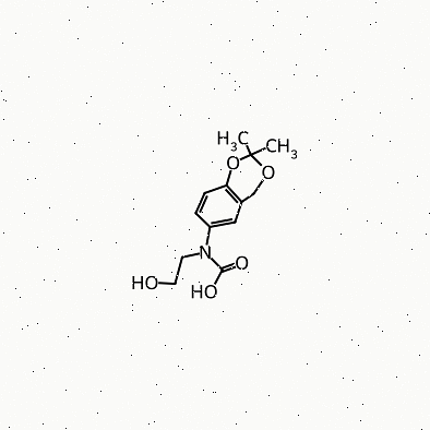 CC1(C)OCc2cc(N(CCO)C(=O)O)ccc2O1